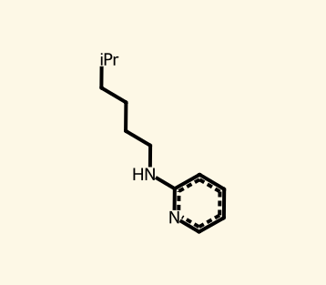 CC(C)CCCCNc1ccccn1